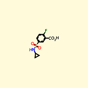 O=C(O)c1cc(S(=O)(=O)NC2CC2)ccc1F